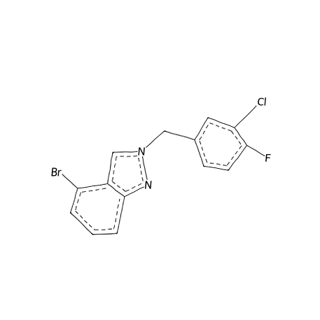 Fc1ccc(Cn2cc3c(Br)cccc3n2)cc1Cl